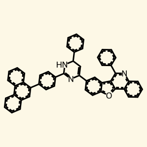 C1=C(c2ccc3oc4c5ccccc5nc(-c5ccccc5)c4c3c2)N=C(c2ccc(-c3cc4ccccc4c4ccccc34)cc2)NC1c1ccccc1